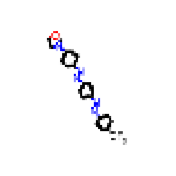 FC(F)(F)c1ccc(N=Nc2ccc(N=Nc3ccc(N4CCOC4)cc3)cc2)cc1